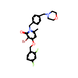 Cc1cc(OCc2ccc(F)cc2F)c(Br)c(=O)n1Cc1ccc(CN2CCOCC2)cc1